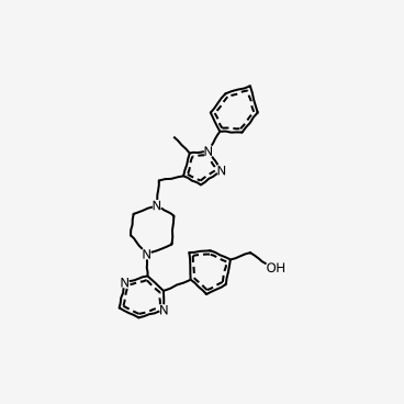 Cc1c(CN2CCN(c3nccnc3-c3ccc(CO)cc3)CC2)cnn1-c1ccccc1